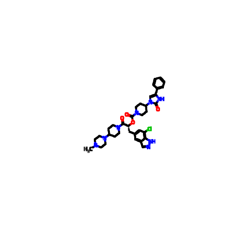 CN1CCN(C2CCN(C(=O)[C@@H](Cc3cc(Cl)c4[nH]ncc4c3)OC(=O)N3CCC(n4cc(-c5ccccc5)[nH]c4=O)CC3)CC2)CC1